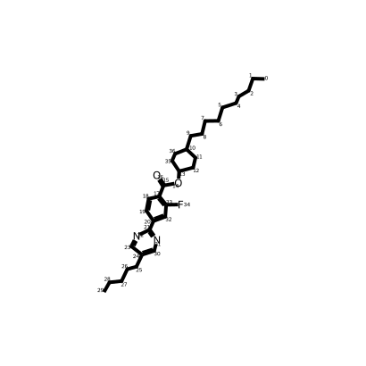 CCCCCCCCCCC1CCC(OC(=O)c2ccc(-c3ncc(CCCCC)cn3)cc2F)CC1